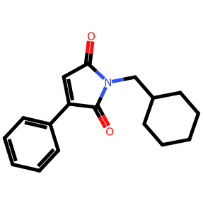 O=C1C=C(c2ccccc2)C(=O)N1CC1CCCCC1